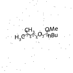 CCCCC(COC[CH]C=C(C)C)OC